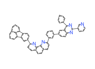 c1ccc(-c2nc(-c3cccnc3)nc3ccc(-c4cccc(-c5ccc6ccc7ccc(-c8ccc9c(c8)-c8cccc%10cccc-9c8%10)nc7c6n5)c4)cc23)cc1